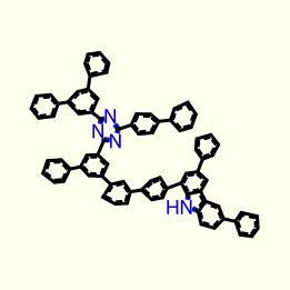 c1ccc(-c2ccc(-c3nc(-c4cc(-c5ccccc5)cc(-c5ccccc5)c4)nc(-c4cc(-c5ccccc5)cc(-c5cccc(-c6ccc(-c7cc(-c8ccccc8)cc8c7[nH]c7ccc(-c9ccccc9)cc78)cc6)c5)c4)n3)cc2)cc1